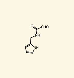 O=CC(=O)NCc1ccc[nH]1